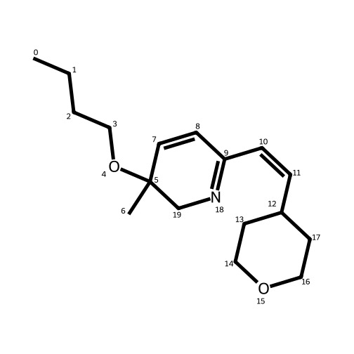 CCCCOC1(C)C=CC(/C=C\C2CCOCC2)=NC1